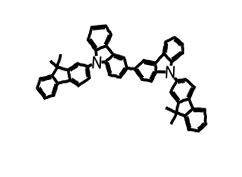 CC1(C)c2ccccc2-c2ccc(-n3c4ccccc4c4cc(-c5ccc6c(c5)c5ccccc5n6-c5ccc6c(c5)C(C)(C)c5ccccc5-6)ccc43)cc21